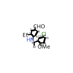 CCc1cc(C=O)ccc1NC(C)c1cc(Cl)ccc1OC